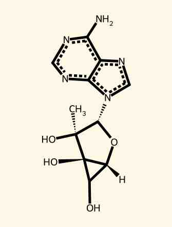 C[C@]1(O)[C@H](n2cnc3c(N)ncnc32)O[C@@H]2C(O)[C@@]21O